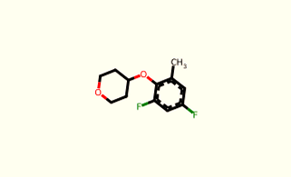 Cc1cc(F)cc(F)c1OC1CCOCC1